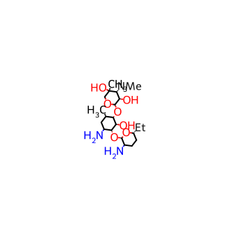 CC[C@@H]1CC[C@@H](N)[C@@H](O[C@H]2[C@H](O)[C@@H](O[C@H]3OC[C@](C)(O)[C@H](NC)[C@H]3O)[C@H](C)C[C@@H]2N)O1